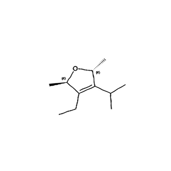 CCC1=C(C(C)C)[C@@H](C)O[C@@H]1C